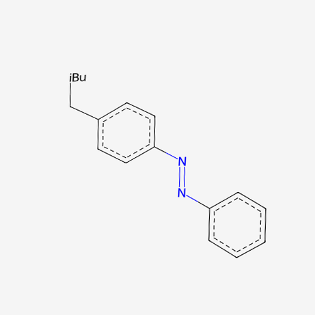 CCC(C)Cc1ccc(N=Nc2ccccc2)cc1